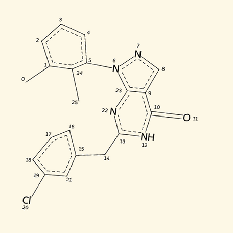 Cc1cccc(-n2ncc3c(=O)[nH]c(Cc4cccc(Cl)c4)nc32)c1C